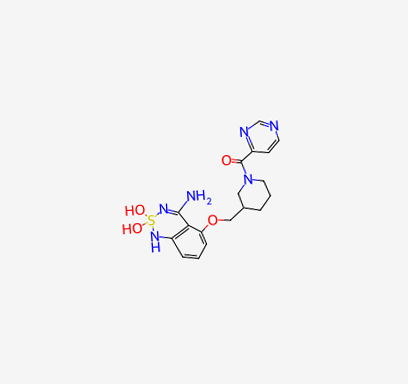 NC1=NS(O)(O)Nc2cccc(OCC3CCCN(C(=O)c4ccncn4)C3)c21